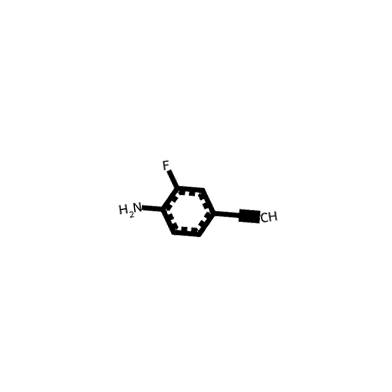 C#Cc1ccc(N)c(F)c1